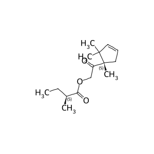 CC[C@H](C)C(=O)OCC(=O)[C@@]1(C)CC=CC1(C)C